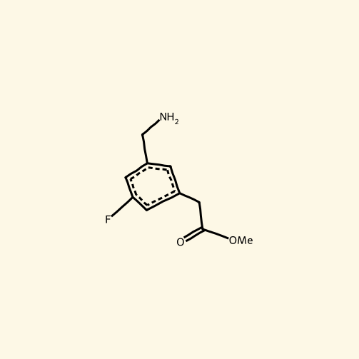 COC(=O)Cc1cc(F)cc(CN)c1